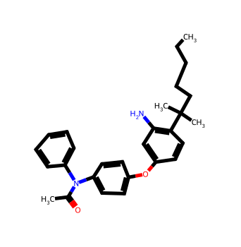 CCCCCC(C)(C)c1ccc(Oc2ccc(N(C(C)=O)c3ccccc3)cc2)cc1N